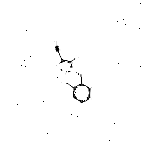 N#Cc1nnn(Cc2ccccc2Cl)c1N